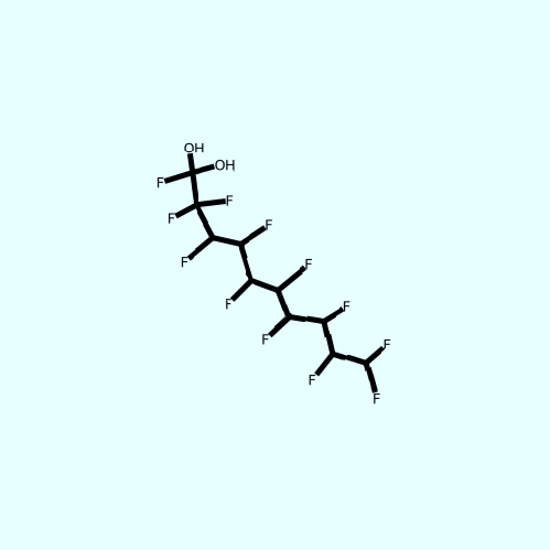 OC(O)(F)C(F)(F)C(F)C(F)C(F)C(F)C(F)C(F)C(F)C(F)F